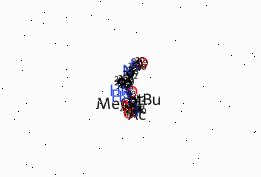 COc1c(NC(=O)Nc2ccc(-c3ccc(CN4CCOCC4)nc3)c3ccccc23)cc(C(C)(C)C)cc1N(N(C(C)=O)C1CC1)S(C)(=O)=O